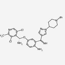 Cc1ncc(Cl)c([C@@H](N)Oc2ccc(N)c(C(=N)c3cnn(C4CCN(C(C)C)CC4)c3)c2)c1Cl